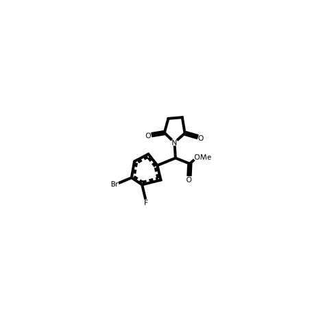 COC(=O)C(c1ccc(Br)c(F)c1)N1C(=O)CCC1=O